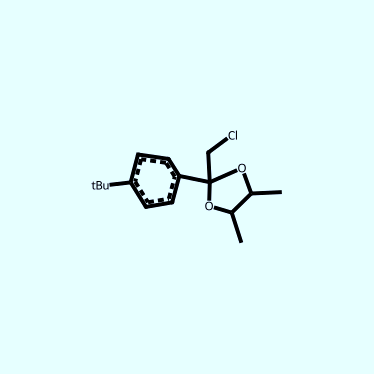 CC1OC(CCl)(c2ccc(C(C)(C)C)cc2)OC1C